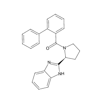 O=C(c1ccccc1-c1ccccc1)N1CCC[C@H]1c1nc2ccccc2[nH]1